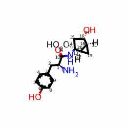 N[C@@H](Cc1ccc(O)cc1)C(=O)N[C@@]1(C(=O)O)C[C@H](O)[C@H]2C[C@H]21